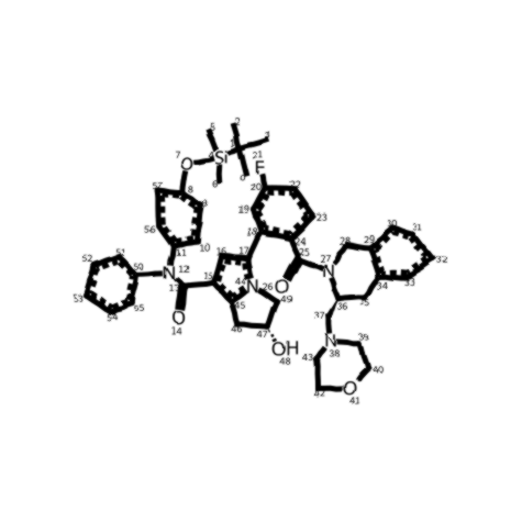 CC(C)(C)[Si](C)(C)Oc1ccc(N(C(=O)c2cc(-c3cc(F)ccc3C(=O)N3Cc4ccccc4C[C@H]3CN3CCOCC3)n3c2C[C@@H](O)C3)c2ccccc2)cc1